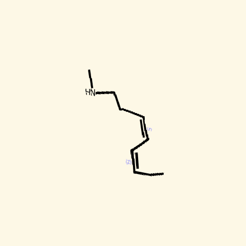 C/C=C\C=C/CCNC